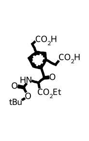 CCOC(=O)C(NC(=O)OC(C)(C)C)C(=O)c1ccc(CC(=O)O)cc1CC(=O)O